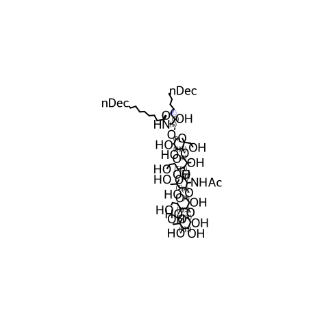 CCCCCCCCCCCCC/C=C/[C@@H](O)[C@H](CO[C@@H]1OC(CO)[C@@H](O[C@@H]2OC(CO)[C@H](O)[C@H](O[C@@H]3OC(CO)[C@@H](O)[C@H](O[C@@H]4OC(CO)[C@H](O)[C@H](O[C@H]5OC(CO)[C@H](O)[C@H](O)C5O)C4O)C3NC(C)=O)C2O)[C@H](O)C1O)NC(=O)CCCCCCCCCCCCCCCCC